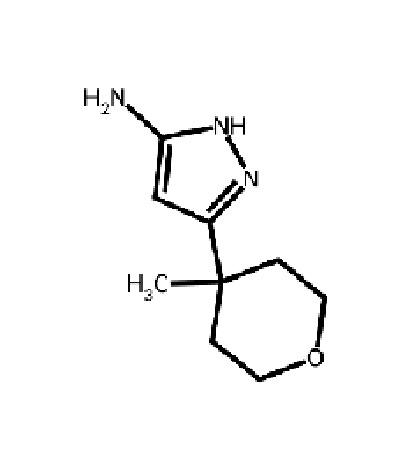 CC1(c2cc(N)[nH]n2)CCOCC1